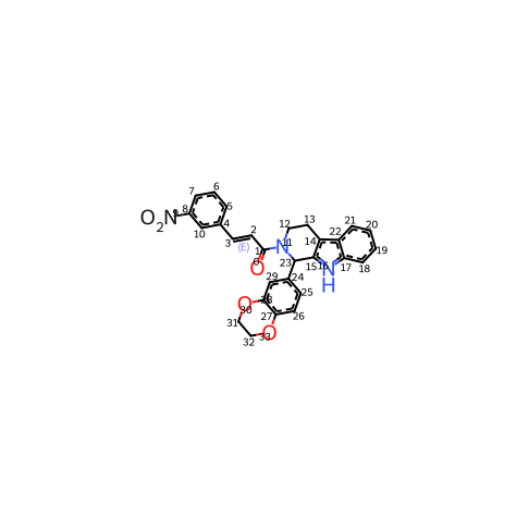 O=C(/C=C/c1cccc([N+](=O)[O-])c1)N1CCc2c([nH]c3ccccc23)C1c1ccc2c(c1)OCCO2